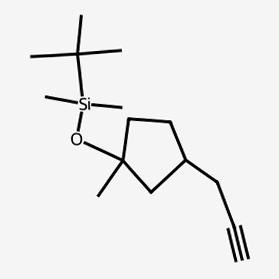 C#CCC1CCC(C)(O[Si](C)(C)C(C)(C)C)C1